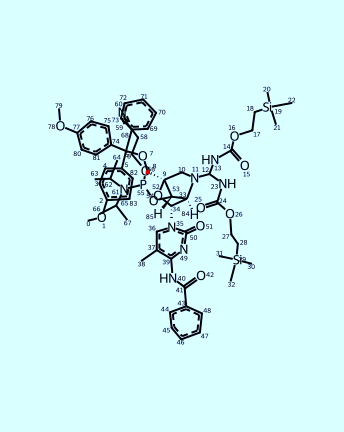 COc1ccc(C(OC[C@@]23CN(C(NC(=O)OCC[Si](C)(C)C)NC(=O)OCC[Si](C)(C)C)[C@@H]([C@H](n4cc(C)c(NC(=O)c5ccccc5)nc4=O)O2)[C@@H]3OP(OCCC#N)N(C(C)C)C(C)C)(c2ccccc2)c2ccc(OC)cc2)cc1